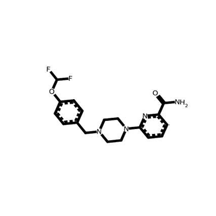 NC(=O)c1[c]ccc(N2CCN(Cc3ccc(OC(F)F)cc3)CC2)n1